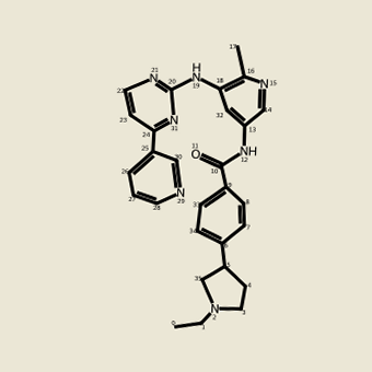 CCN1CCC(c2ccc(C(=O)Nc3cnc(C)c(Nc4nccc(-c5cccnc5)n4)c3)cc2)C1